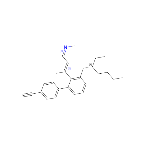 C#Cc1ccc(-c2cccc(C[C@H](CC)CCCC)c2/C(C)=C/C=N\C)cc1